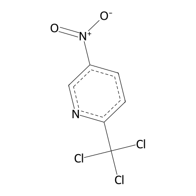 O=[N+]([O-])c1ccc(C(Cl)(Cl)Cl)nc1